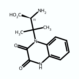 CC(C)([C@H](N)C(=O)O)n1c(=O)c(=O)[nH]c2ccccc21